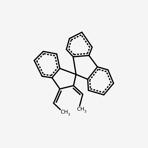 C/C=C1\C(=C/C)C2(c3ccccc31)c1ccccc1-c1ccccc12